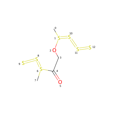 CS(OCC(=O)S(C)=S=S)=S=S=S